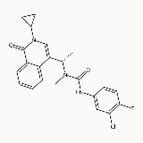 C[C@@H](c1cn(C2CC2)c(=O)c2ccccc12)N(C)C(=O)Nc1ccc(F)c(Cl)c1